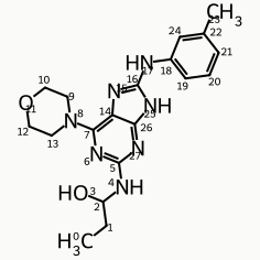 CCC(O)Nc1nc(N2CCOCC2)c2nc(Nc3cccc(C)c3)[nH]c2n1